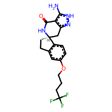 Nc1[nH]nc2c1C(=O)N[C@@]1(CCc3cc(OCCCC(F)(F)F)ccc31)C2